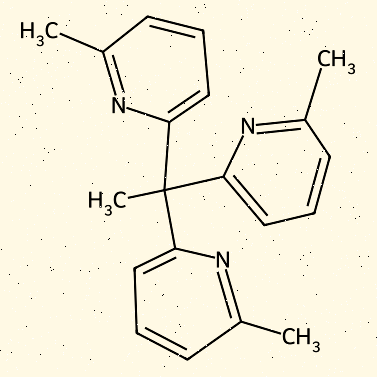 Cc1cccc(C(C)(c2cccc(C)n2)c2cccc(C)n2)n1